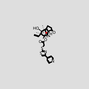 C=C[C@]1(C)C[C@@H](OC(=O)CSc2nc(-c3ccncc3)cs2)[C@]2(C)[C@H](C)CC[C@]3(CCC(=O)[C@H]32)[C@@H](C)[C@@H]1O